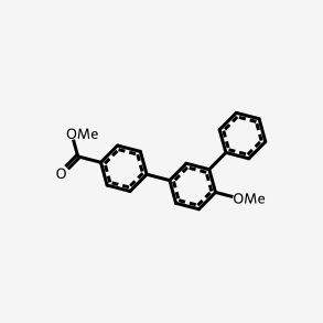 COC(=O)c1ccc(-c2ccc(OC)c(-c3ccccc3)c2)cc1